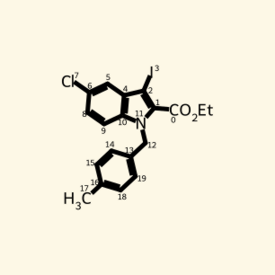 CCOC(=O)c1c(I)c2cc(Cl)ccc2n1Cc1ccc(C)cc1